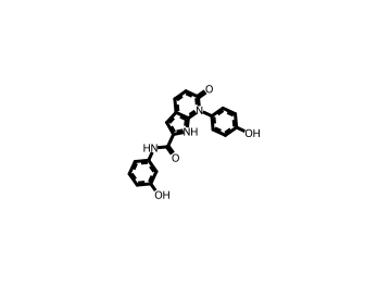 O=C(Nc1cccc(O)c1)c1cc2ccc(=O)n(-c3ccc(O)cc3)c2[nH]1